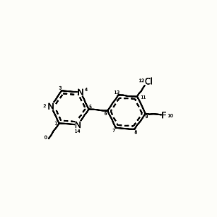 Cc1ncnc(-c2ccc(F)c(Cl)c2)n1